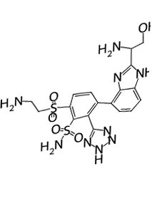 NCCS(=O)(=O)c1ccc(-c2cccc3[nH]c(C(N)CO)nc23)c(-c2nn[nH]n2)c1S(N)(=O)=O